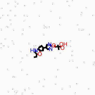 CCC1CNc2ccc(-c3cnc(OCC(C)(C)C(=O)O)nc3)cc2O1